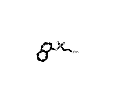 CCCCCCCCCCCCS(=O)(=O)Oc1cccc2ccccc12